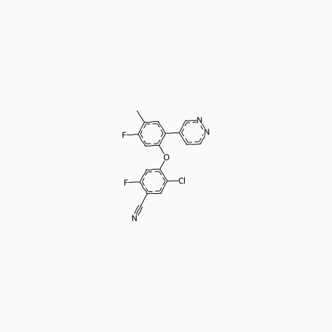 Cc1cc(-c2ccnnc2)c(Oc2cc(F)c(C#N)cc2Cl)cc1F